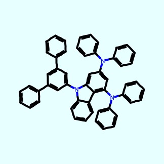 c1ccc(-c2cc(-c3ccccc3)cc(-n3c4ccccc4c4c(N(c5ccccc5)c5ccccc5)cc(N(c5ccccc5)c5ccccc5)cc43)c2)cc1